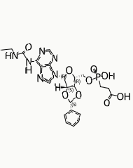 CCNC(=O)Nc1ncnc2c1ncn2[C@@H]1O[C@H](COP(=O)(O)CCC(=O)O)C2O[C@H](c3ccccc3)O[C@@H]21